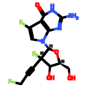 Nc1nc2c(c(F)cn2[C@@H]2O[C@H](CO)C(O)[C@]2(F)C#CCF)c(=O)[nH]1